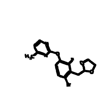 Cc1ccnc(Oc2ccc(Br)c(CC3OCCO3)c2F)n1